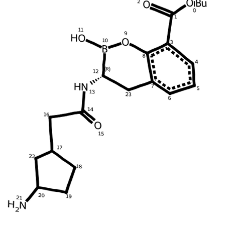 CC(C)COC(=O)c1cccc2c1OB(O)[C@@H](NC(=O)CC1CCC(N)C1)C2